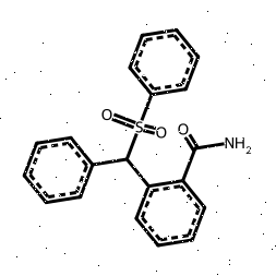 NC(=O)c1ccccc1C(c1ccccc1)S(=O)(=O)c1ccccc1